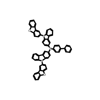 c1ccc(-c2ccc(N(c3ccc4c(c3)c3ccccc3n4-c3ccc4oc5ccccc5c4c3)c3ccc4c(c3)c3ccccc3n4-c3ccc4oc5ccccc5c4c3)cc2)cc1